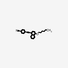 CCCCCCOc1ccc(C#Cc2ccc(C#N)cc2)c2ccccc12